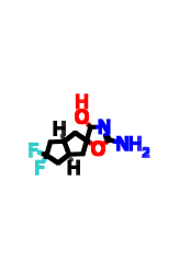 NC1=NC(O)C2(C[C@H]3CC(F)(F)C[C@H]3C2)O1